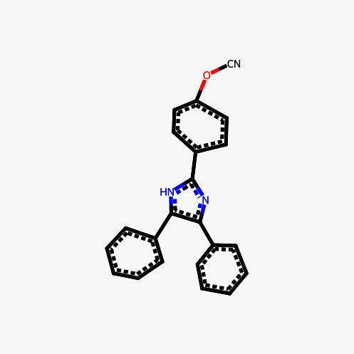 N#COc1ccc(-c2nc(-c3ccccc3)c(-c3ccccc3)[nH]2)cc1